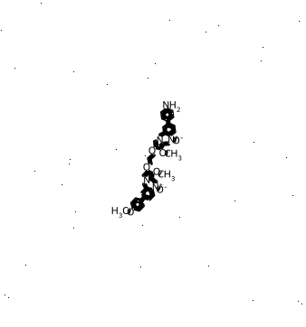 COc1ccc(C2=CC=C3C(C2)Cn2cc(OCCCOc4cn5c(c4OC)C=[N+]([O-])C4=CC=C(c6ccc(N)cc6)CC4C5)c(OC)c2C=[N+]3[O-])cc1